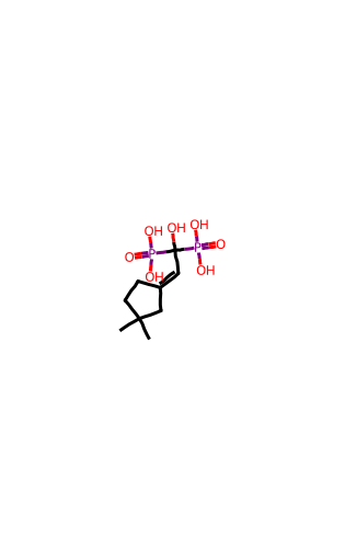 CC1(C)CC/C(=C\C(O)(P(=O)(O)O)P(=O)(O)O)C1